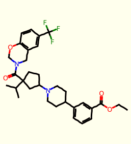 CCOC(=O)c1cccc(C2CCN(C3CCC(C(=O)N4COc5ccc(C(F)(F)F)cc5C4)(C(C)C)C3)CC2)c1